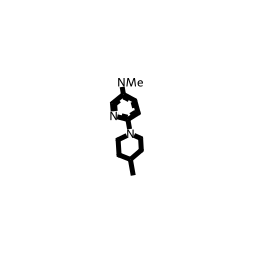 CNc1ccc(N2CCC(C)CC2)nc1